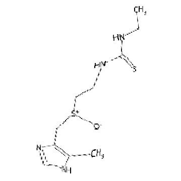 CCNC(=S)NCC[S+]([O-])Cc1nc[nH]c1C